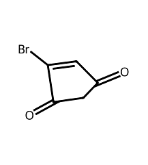 O=C1C=C(Br)C(=O)C1